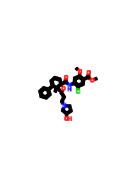 COC(=O)c1cc(Cl)c(NC(=O)[C@@]2(OCCCN3CCC(O)C3)C=CC=C(c3ccccc3)C2(C)C)cc1OC